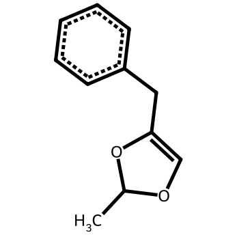 CC1OC=C(Cc2ccccc2)O1